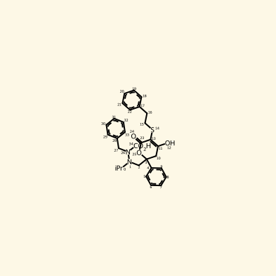 CC(C)N(CC1(c2ccccc2)CC(O)=C(SCCc2ccccc2)C(=O)O1)N(Cc1ccccc1)C(=O)O